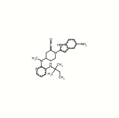 CCC(C)(C)Nc1cccnc1N(C)C1CCN(c2cc3cc(N)ccc3[nH]2)C(=C=O)C1